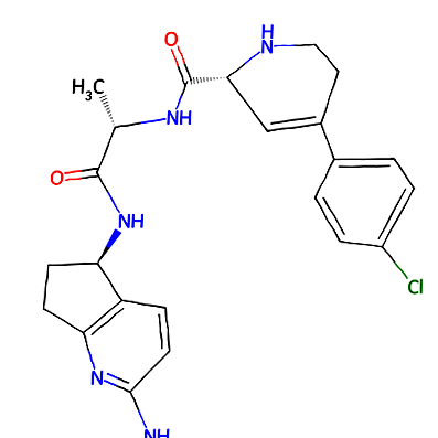 C[C@H](NC(=O)[C@H]1C=C(c2ccc(Cl)cc2)CCN1)C(=O)N[C@@H]1CCc2nc(N)ccc21